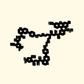 N#C[C@@H]1CC(F)(F)CN1C(=O)CNC(=O)c1ccnc2ccc(-c3ccc(OCCOCCN(CCOCCOc4ccc(-c5ccc6nccc(C(=O)NCC(=O)N7CC(F)(F)C[C@H]7C#N)c6c5)cc4)C(=O)CNC(=O)c4ccc(C(=O)O)c(-c5c6ccc(=O)cc-6oc6cc(O)ccc56)c4)cc3)cc12